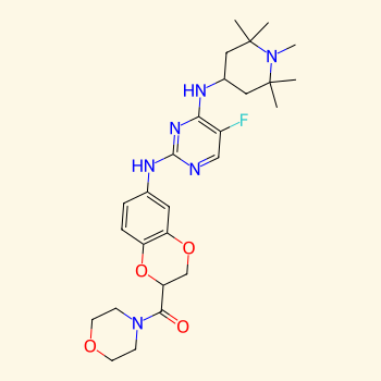 CN1C(C)(C)CC(Nc2nc(Nc3ccc4c(c3)OCC(C(=O)N3CCOCC3)O4)ncc2F)CC1(C)C